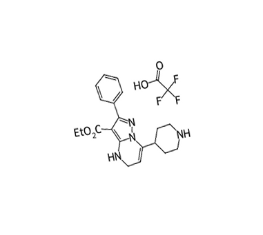 CCOC(=O)c1c(-c2ccccc2)nn2c1NCC=C2C1CCNCC1.O=C(O)C(F)(F)F